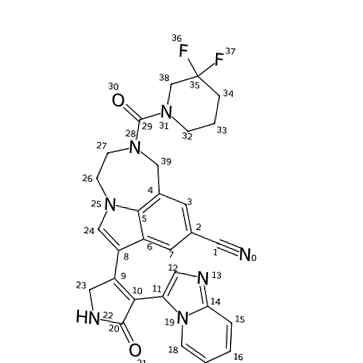 N#Cc1cc2c3c(c1)c(C1=C(c4cnc5ccccn45)C(=O)NC1)cn3CCN(C(=O)N1CCCC(F)(F)C1)C2